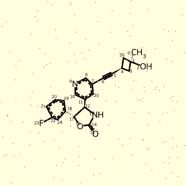 C[C@]1(O)C[C@@H](C#Cc2cncc([C@H]3NC(=O)O[C@@H]3c3cccc(F)c3)c2)C1